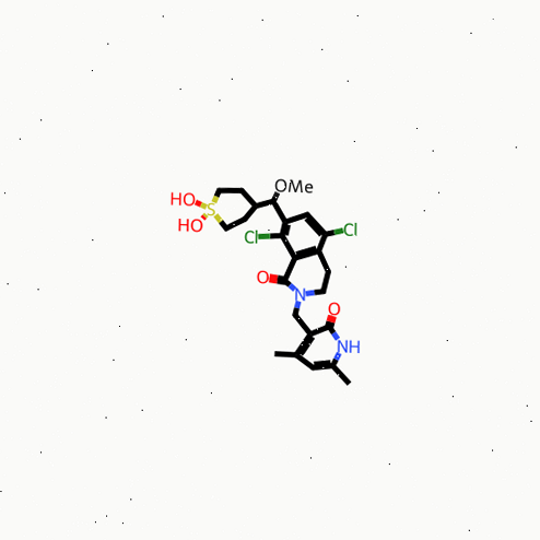 COC(c1cc(Cl)c2c(c1Cl)C(=O)N(Cc1c(C)cc(C)[nH]c1=O)CC2)C1CCS(O)(O)CC1